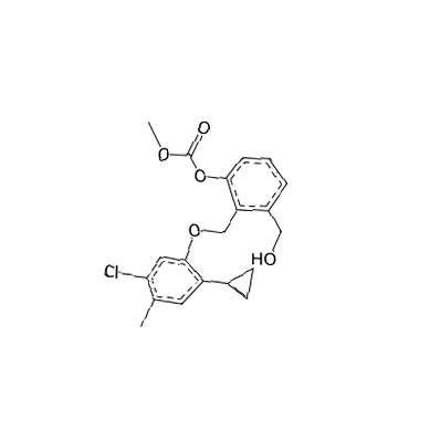 COC(=O)Oc1cccc(CO)c1COc1cc(Cl)c(C)cc1C1CC1